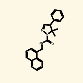 CC1(C)C(c2ccccc2)C=NN1C(=O)NCc1cccc2ccccc12